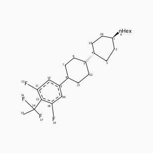 CCCCCC[C@H]1CC[C@H](C2CCC(c3cc(F)c(C(C)(F)F)c(F)c3)CC2)CC1